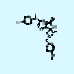 COc1ccc(COCC2(C(C)C)NC(=O)N(NC(=O)Nc3ccc(Br)cc3)C2=O)cc1